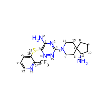 Nc1nc(N2CCC3(CCC[C@H]3N)CC2)nnc1Sc1cccnc1C(F)(F)F